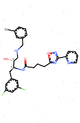 CCc1cccc(CNC[C@@H](O)[C@H](Cc2cc(F)cc(F)c2)NC(=O)CCCc2nc(-c3ccccn3)no2)c1